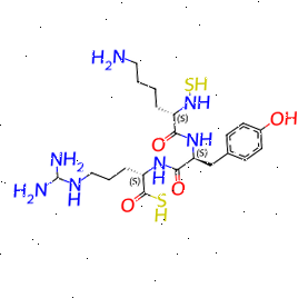 NCCCC[C@H](NS)C(=O)N[C@@H](Cc1ccc(O)cc1)C(=O)N[C@@H](CCCNC(N)N)C(=O)S